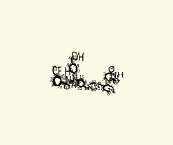 O=C1CCN(c2cnccc2CN2CCN(Cc3ccc4c(c3)nc(NC(=O)c3cccc(C(F)(F)F)c3)n4C3CCC(CO)CC3)CC2)C(=O)N1